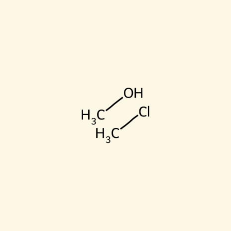 CCl.CO